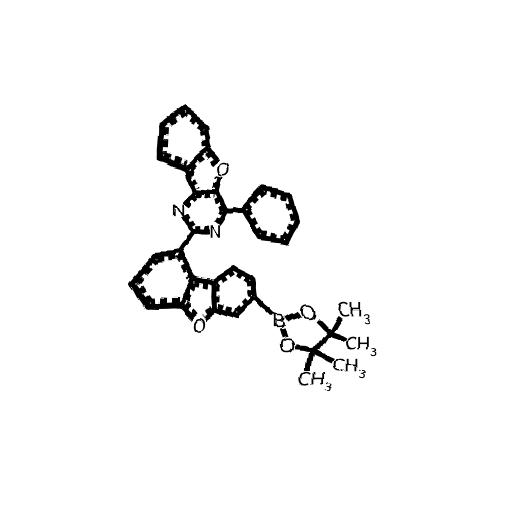 CC1(C)OB(c2ccc3c(c2)oc2cccc(-c4nc(-c5ccccc5)c5oc6ccccc6c5n4)c23)OC1(C)C